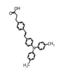 Cc1ccc(N(c2ccc(C)cc2)c2ccc(C=Cc3ccc(CCC(=O)O)cc3)cc2)cc1